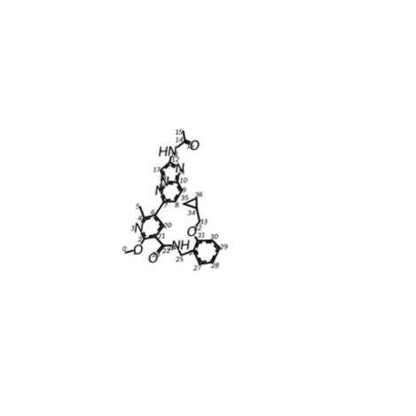 COc1nc(C)c(-c2ccc3nc(NC(C)=O)cn3n2)cc1C(=O)NCc1ccccc1OCC1CC1